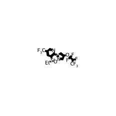 CC[S+]([O-])c1cc(C(F)(F)F)cnc1-n1cc(OC(F)(F)C(F)C(F)(F)F)cn1